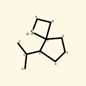 CC(C)C1CCCC12CCS2